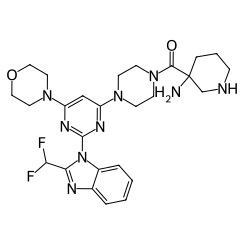 NC1(C(=O)N2CCN(c3cc(N4CCOCC4)nc(-n4c(C(F)F)nc5ccccc54)n3)CC2)CCCNC1